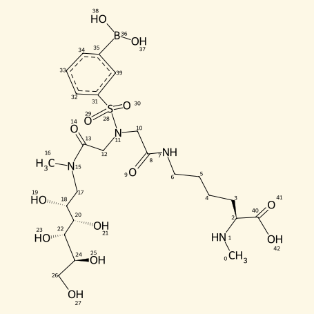 CN[C@@H](CCCCNC(=O)CN(CC(=O)N(C)C[C@@H](O)[C@H](O)[C@@H](O)[C@@H](O)CO)S(=O)(=O)c1cccc(B(O)O)c1)C(=O)O